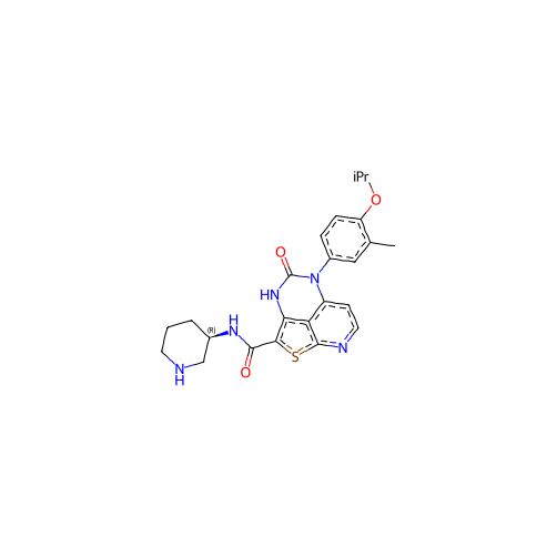 Cc1cc(N2C(=O)Nc3c(C(=O)N[C@@H]4CCCNC4)sc4nccc2c34)ccc1OC(C)C